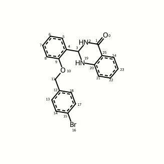 O=C1NC(c2ccccc2OCc2ccc(Br)cc2)Nc2ccccc21